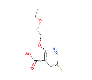 CCOCCOc1ncc(F)cc1C(=O)O